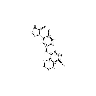 O=C1NCCN1c1cc(Cc2n[nH]c(=O)c3c2CCCC3)ccc1F